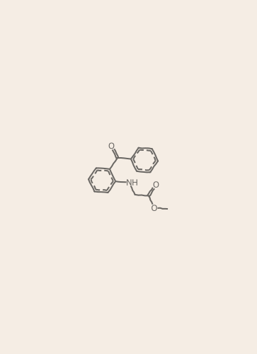 COC(=O)CNc1ccccc1C(=O)c1ccccc1